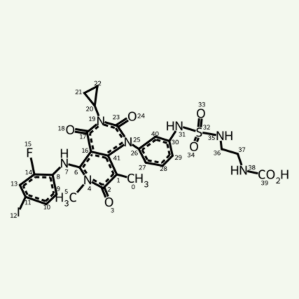 Cc1c(=O)n(C)c(Nc2ccc(I)cc2F)c2c(=O)n(C3CC3)c(=O)n(-c3cccc(NS(=O)(=O)NCCNC(=O)O)c3)c12